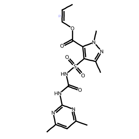 C/C=C\OC(=O)c1c(S(=O)(=O)NC(=O)Nc2nc(C)cc(C)n2)c(C)nn1C